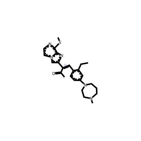 CCc1cc(N2CCCN(C)CC2)ccc1/C=C(\C(C)=O)c1cn2ccnc(SC)c2n1